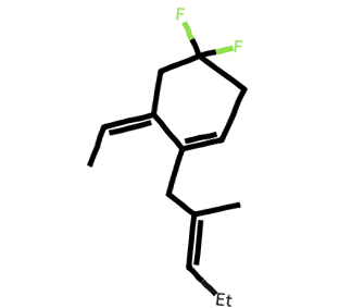 C/C=C1/CC(F)(F)CC=C1C/C(C)=C/CC